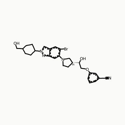 N#Cc1cccc(OCC(O)[C@@H]2CCN(c3cc4nn(C5CCC(CO)CC5)cc4cc3Br)C2)c1